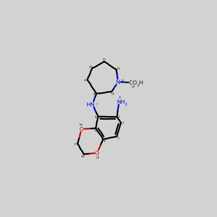 Nc1ccc2c(c1NC1CCCCN(C(=O)O)C1)OCCO2